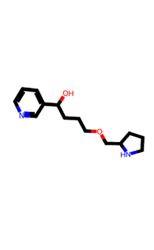 OC(CCCOCC1CCCN1)c1cccnc1